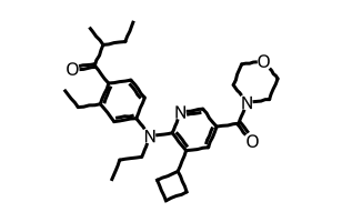 CCCN(c1ccc(C(=O)C(C)CC)c(CC)c1)c1ncc(C(=O)N2CCOCC2)cc1C1CCC1